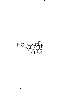 OCc1nc2c(Cl)c(-c3ccccc3C(F)(F)F)c(Cl)cc2[nH]1